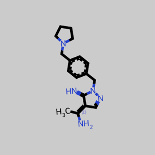 C/C(N)=C1/C=NN(Cc2ccc(CN3CCCC3)cc2)C1=N